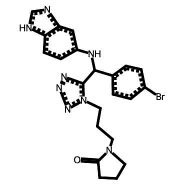 O=C1CCCN1CCCn1nnnc1C(Nc1ccc2[nH]cnc2c1)c1ccc(Br)cc1